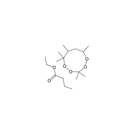 CC1CC(C)C(C)(C)OOC(C)(C)OO1.CCCC(=O)OCC